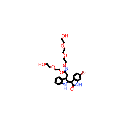 O=C1Nc2cc(Br)ccc2/C1=C1/Nc2ccccc2C1CC(=NOCCOCCOCCO)OCCOCCO